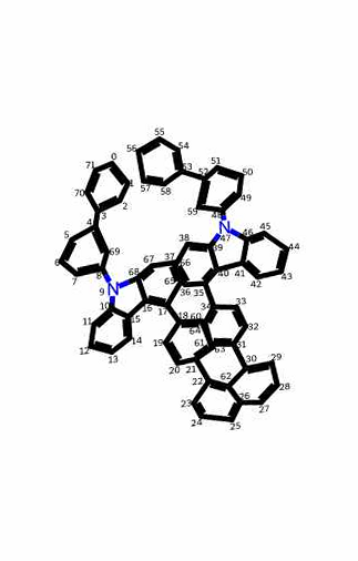 c1ccc(-c2cccc(-n3c4ccccc4c4c(-c5ccc(-c6cccc7cccc(-c8ccc(-c9cccc%10c9c9ccccc9n%10-c9cccc(-c%10ccccc%10)c9)cc8)c67)cc5)cccc43)c2)cc1